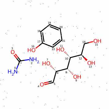 NC(N)=O.O=C[C@H](O)[C@@H](O)[C@H](O)[C@H](O)CO.Oc1ccccc1